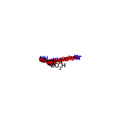 [N-]=[N+]=NCCOCCOCCOCCOCCC(=O)NCCCOc1ccc([C@H](CC(=O)O)N2CCN(CCCc3ccc4c(n3)NCCC4)C2=O)cn1